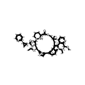 CCO[C@@H]1c2nc(cs2)-c2ccc3c(c2)c(c(-c2cccnc2[C@H](C)OC)n3CC)CC(C)(C)COC(=O)[C@@H]2CCCN(N2)C(=O)[C@H]1NC(=O)[C@@H]1C[C@H]1c1ccccn1